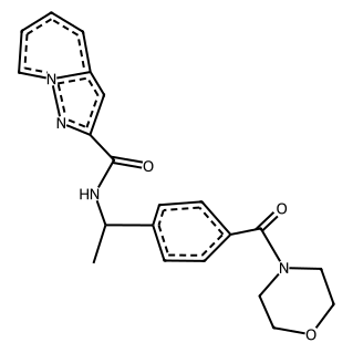 CC(NC(=O)c1cc2ccccn2n1)c1ccc(C(=O)N2CCOCC2)cc1